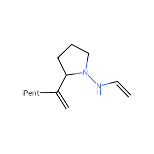 C=CNN1CCCC1C(=C)C(C)CCC